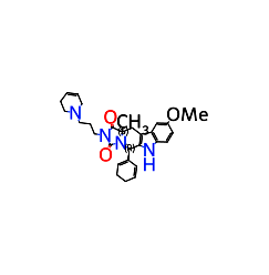 COc1ccc2[nH]c3c(c2c1)C[C@@]1(C)C(=O)N(CCCN2CC=CCC2)C(=O)N1[C@@H]3C1=CCCC=C1